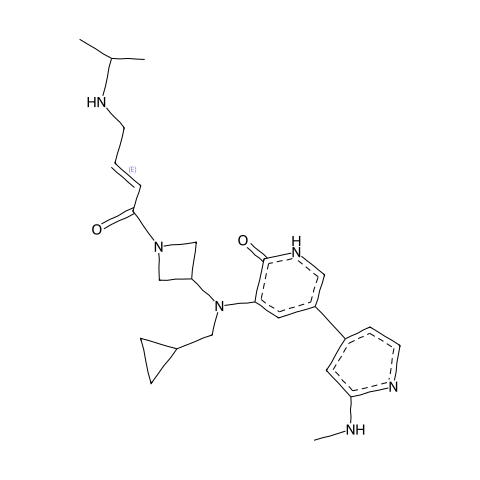 CNc1cc(-c2c[nH]c(=O)c(N(CC3CC3)C3CN(C(=O)/C=C/CNC(C)C)C3)c2)ccn1